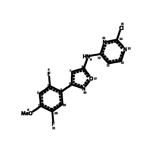 COc1cc(F)c(-c2cc(Nc3ccnc(Cl)n3)on2)cc1F